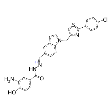 Nc1cc(C(=O)N/N=C/c2ccc3c(ccn3Cc3csc(-c4ccc(Cl)cc4)n3)c2)ccc1O